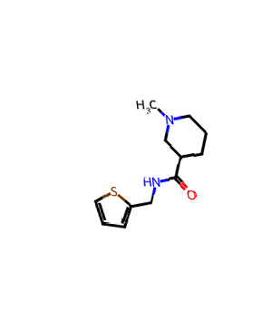 CN1CCCC(C(=O)NCc2cccs2)C1